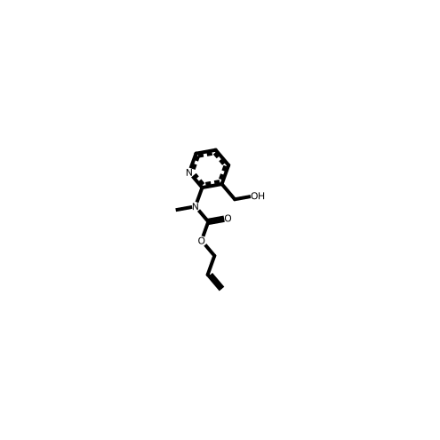 C=CCOC(=O)N(C)c1ncccc1CO